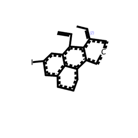 C=Cc1c2cc(I)cc3cccc(c4ccc/c(=C/C)c14)c32